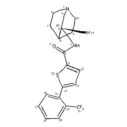 O=C(N[C@H]1CN2CCC1CC2)c1ccc(-c2ccccc2C(F)(F)F)s1